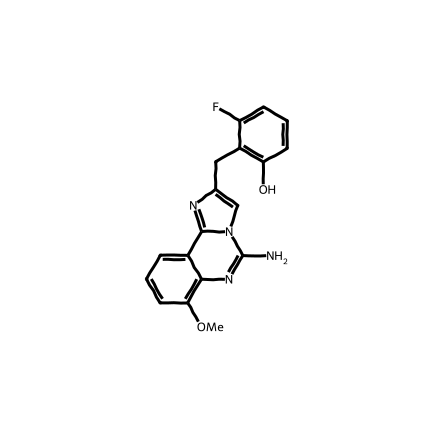 COc1cccc2c1nc(N)n1cc(Cc3c(O)cccc3F)nc21